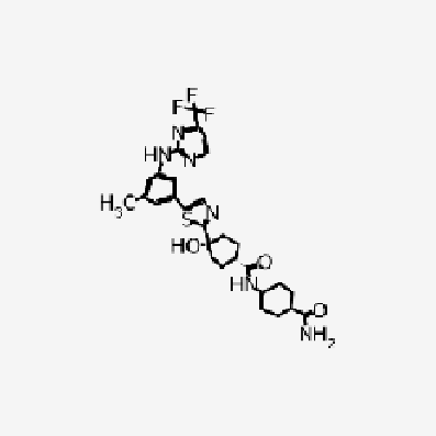 Cc1cc(Nc2nccc(C(F)(F)F)n2)cc(-c2cnc([C@]3(O)CC[C@H](C(=O)NC4CCC(C(N)=O)CC4)CC3)s2)c1